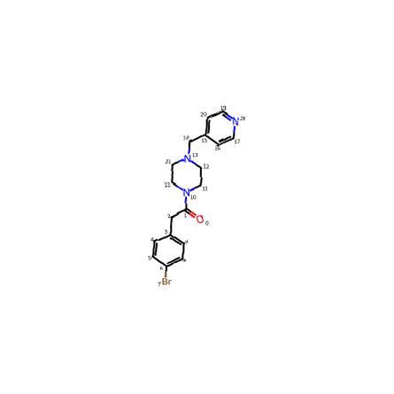 O=C(Cc1ccc(Br)cc1)N1CCN(Cc2ccncc2)CC1